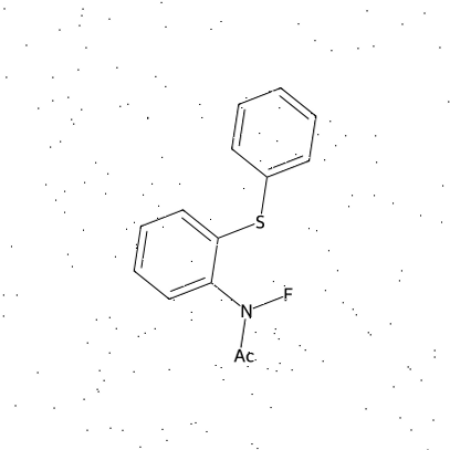 CC(=O)N(F)c1ccccc1Sc1ccccc1